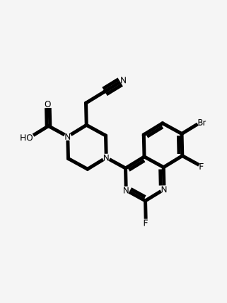 N#CCC1CN(c2nc(F)nc3c(F)c(Br)ccc23)CCN1C(=O)O